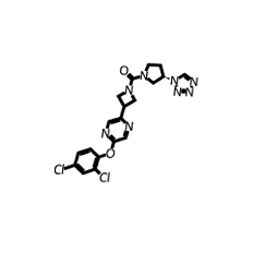 O=C(N1CC(c2cnc(Oc3ccc(Cl)cc3Cl)cn2)C1)N1CC[C@H](n2cnnn2)C1